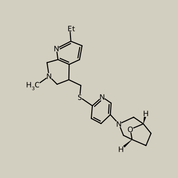 CCc1ccc2c(n1)CN(C)CC2CSc1ccc(N2C[C@H]3CC[C@@H](C2)O3)cn1